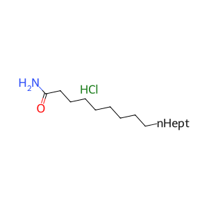 CCCCCCCCCCCCCCCC(N)=O.Cl